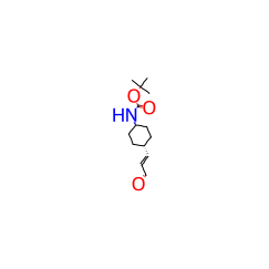 CC(C)(C)OC(=O)N[C@H]1CC[C@H](/C=C/C=O)CC1